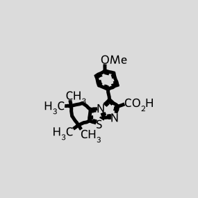 COc1ccc(-c2c(C(=O)O)nc3sc4c(n23)CC(C)(C)CC4(C)C)cc1